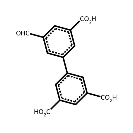 O=Cc1cc(C(=O)O)cc(-c2cc(C(=O)O)cc(C(=O)O)c2)c1